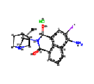 Cl.Nc1c(I)cc2c3c(cccc13)C(=O)N([C@H]1CN3CCC1CC3)C2=O